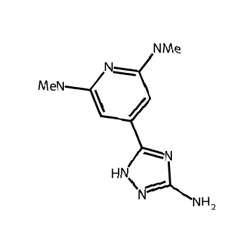 CNc1cc(-c2nc(N)n[nH]2)cc(NC)n1